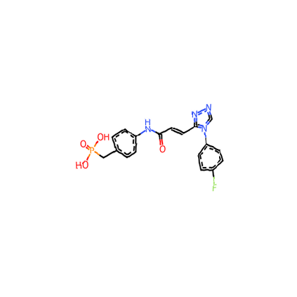 O=C(C=Cc1nncn1-c1ccc(F)cc1)Nc1ccc(CP(=O)(O)O)cc1